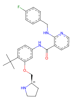 CC(C)(C)c1ccc(NC(=O)c2cccnc2NCc2ccc(F)cc2)cc1OC[C@H]1CCCN1